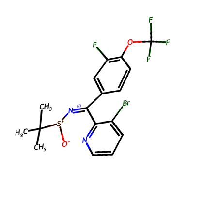 CC(C)(C)[S+]([O-])/N=C(/c1ccc(OC(F)(F)F)c(F)c1)c1ncccc1Br